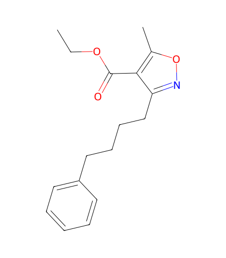 CCOC(=O)c1c(CCCCc2ccccc2)noc1C